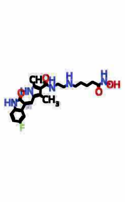 Cc1[nH]c(/C=C2\C(=O)Nc3ccc(F)cc32)c(C)c1C(=O)NCCNCCCCC(=O)NO